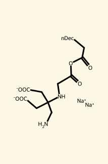 CCCCCCCCCCCC(=O)OC(=O)CNC(CN)(CC(=O)[O-])CC(=O)[O-].[Na+].[Na+]